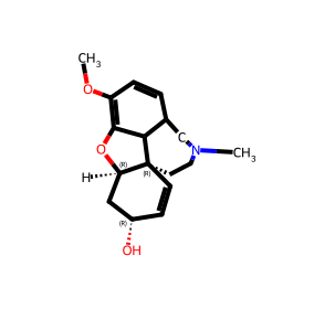 COC1=C2O[C@@H]3C[C@@H](O)C=C[C@@]34CCN(C)CC(C=C1)C24